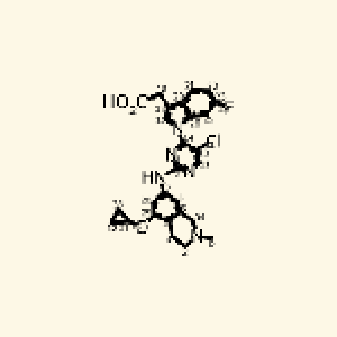 CN1CCc2c(cc(Nc3ncc(Cl)c(-n4cc(CC(=O)O)c5ccc(F)cc54)n3)cc2OC2CC2)C1